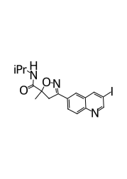 CC(C)NC(=O)C1(C)CC(c2ccc3ncc(I)cc3c2)=NO1